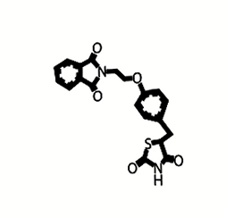 O=C1NC(=O)C(Cc2ccc(OCCN3C(=O)c4ccccc4C3=O)cc2)S1